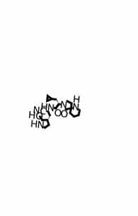 N#C[C@H](C[C@@H]1CCNC1O)NC(=O)[C@H](CC1CC1)N1CCC2(CCCCN2)C1=O